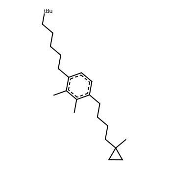 Cc1c(CCCCCC(C)(C)C)ccc(CCCCC2(C)CC2)c1C